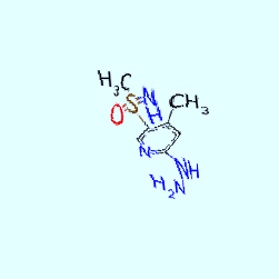 Cc1cc(NN)ncc1S(C)(=N)=O